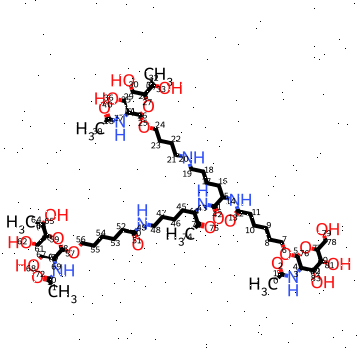 CC(=O)NC1C(OCCCCCC(=O)NC(CCCCNCCCCOC(OC(CO)[C@@H](C)O)[C@H](CO)NC(C)=O)C(=O)NC(CCCCNC(=O)CCCCCOC(OC(CO)[C@@H](C)O)[C@H](CO)NC(C)=O)C(C)=O)OC(CO)C(O)[C@@H]1O